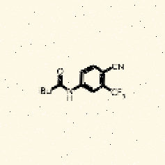 CCC(C)C(=O)Nc1ccc(C#N)c(C(F)(F)F)c1